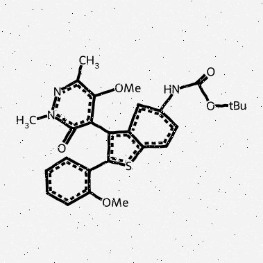 COc1ccccc1-c1sc2ccc(NC(=O)OC(C)(C)C)cc2c1-c1c(OC)c(C)nn(C)c1=O